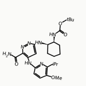 COc1ccc(Nc2cc(N[C@@H]3CCCC[C@@H]3NC(=O)OC(C)(C)C)nnc2C(N)=O)nc1C(C)C